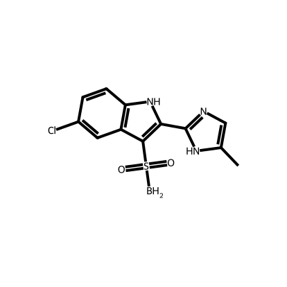 BS(=O)(=O)c1c(-c2ncc(C)[nH]2)[nH]c2ccc(Cl)cc12